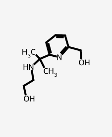 CC(C)(NCCO)c1cccc(CO)n1